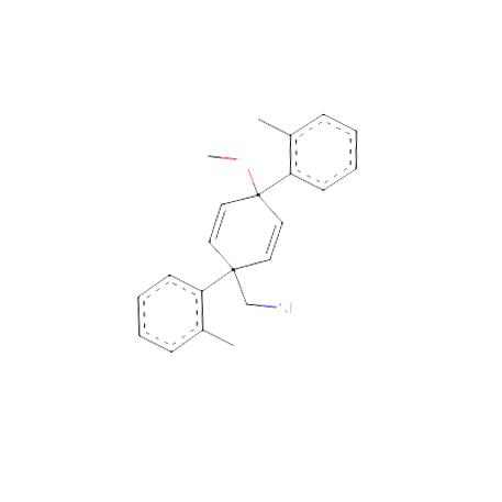 COC1(c2ccccc2C)C=CC(CN)(c2ccccc2C)C=C1